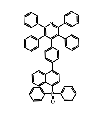 O=P(c1ccccc1)(c1ccccc1)c1ccc(-c2ccc(-c3c(-c4ccccc4)c(-c4ccccc4)nc(-c4ccccc4)c3-c3ccccc3)cc2)c2ccccc12